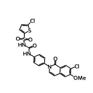 COc1cc2ccn(-c3ccc(NC(=O)NS(=O)(=O)c4ccc(Cl)s4)cc3)c(=O)c2cc1Cl